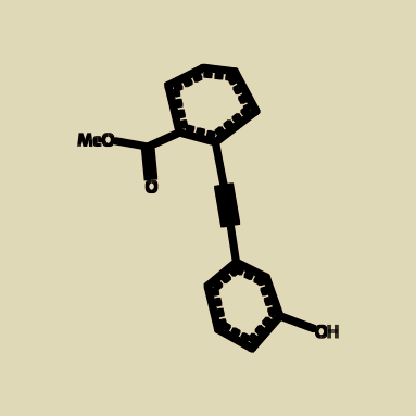 COC(=O)c1ccccc1C#Cc1cccc(O)c1